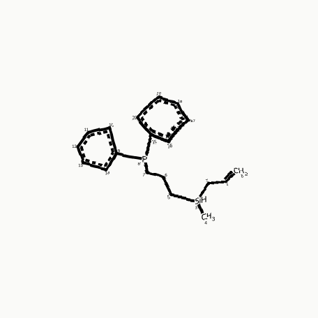 C=CC[SiH](C)CCCP(c1ccccc1)c1ccccc1